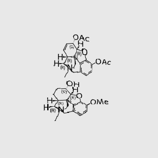 CC(=O)Oc1ccc2c3c1O[C@H]1[C@@H](OC(C)=O)C=C[C@H]4[C@@H](C2)N(C)CC[C@@]341.COc1ccc2c3c1O[C@H]1[C@@H](O)CC[C@H]4[C@@H](C2)N(C)CC[C@@]341